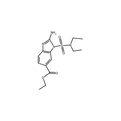 CCOC(=O)c1ccc2nc(N)n(S(=O)(=O)N(CC)CC)c2c1